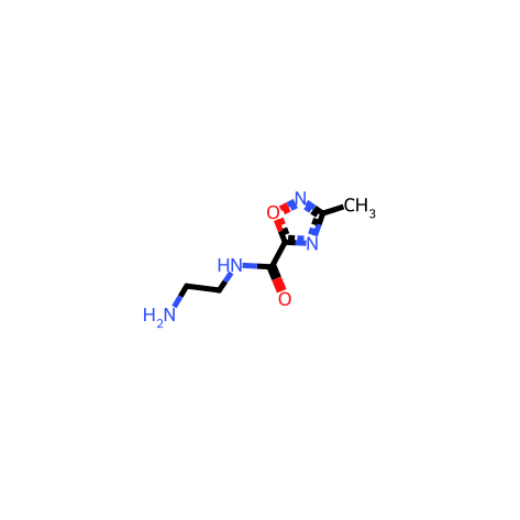 Cc1noc(C(=O)NCCN)n1